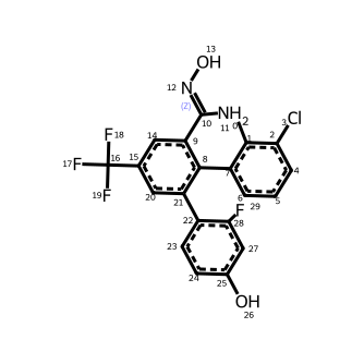 Cc1c(Cl)cccc1-c1c(/C(N)=N/O)cc(C(F)(F)F)cc1-c1ccc(O)cc1F